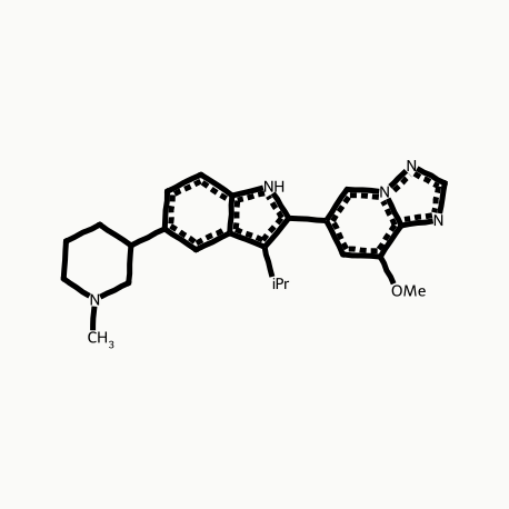 COc1cc(-c2[nH]c3ccc(C4CCCN(C)C4)cc3c2C(C)C)cn2ncnc12